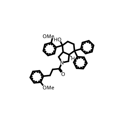 COc1ccccc1CCC(=O)N1CC2[C@H](C1)C(c1ccccc1)(c1ccccc1)CCC2(O)c1ccccc1OC